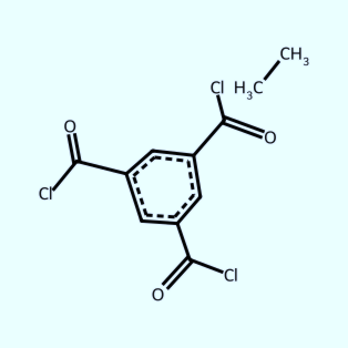 CC.O=C(Cl)c1cc(C(=O)Cl)cc(C(=O)Cl)c1